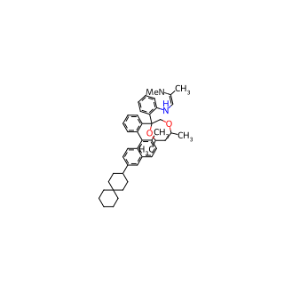 CN/C(C)=C\Nc1ccccc1C1(c2ccccc2-c2c(C)ccc3cc(C4CCC5(CCCCC5)CC4)ccc23)COC(C)CC(C)O1